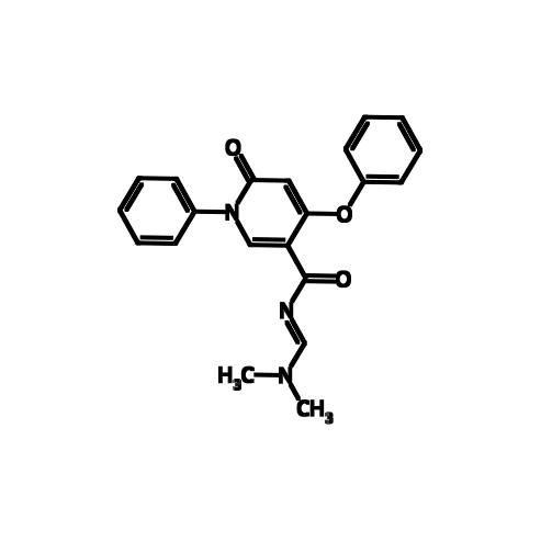 CN(C)/C=N/C(=O)c1cn(-c2ccccc2)c(=O)cc1Oc1ccccc1